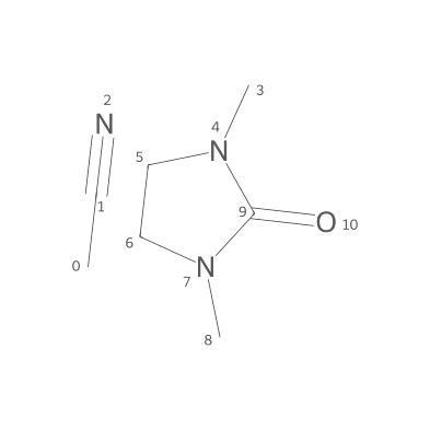 CC#N.CN1CCN(C)C1=O